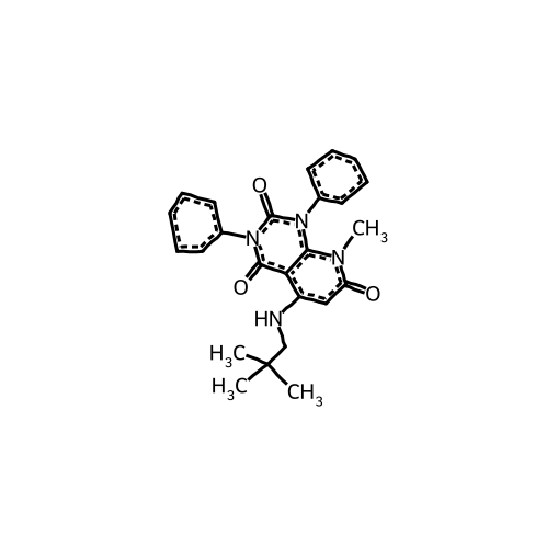 Cn1c(=O)cc(NCC(C)(C)C)c2c(=O)n(-c3ccccc3)c(=O)n(-c3ccccc3)c21